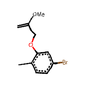 C=C(COc1cc(Br)ccc1C)OC